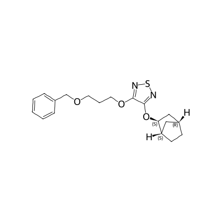 c1ccc(COCCCOc2nsnc2O[C@H]2C[C@@H]3CC[C@H]2C3)cc1